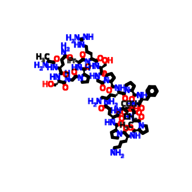 CC(C)[C@H](NC(=O)[C@@H]1CCCN1C(=O)CNC(=O)[C@H](CO)NC(=O)[C@H](CCC(N)=O)NC(=O)[C@H](C)N)C(=O)N[C@@H](CCCNC(=N)N)C(=O)N[C@@H](CO)C(=O)NCC(=O)N1CCC[C@H]1C(=O)N[C@@H](CCCCN)C(=O)N1CCC[C@H]1C(=O)N[C@@H](Cc1ccccc1)C(=O)N[C@@H](CO)C(=O)N[C@@H](C)C(=O)N1CCC[C@H]1C(=O)N[C@@H](CCCCN)C(=O)N1CCC[C@H]1C(=O)N[C@@H](CCC(N)=O)C(=O)N[C@H](C(=O)O)[C@@H](C)O